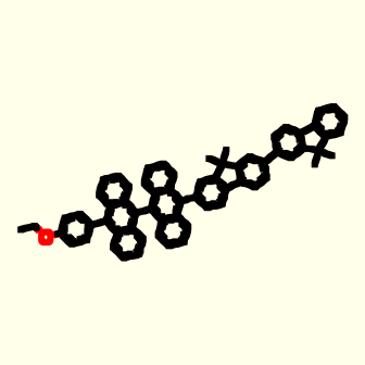 CCOc1ccc(-c2c3ccccc3c(-c3c4ccccc4c(-c4ccc5c(c4)C(C)(C)c4cc(-c6ccc7c(c6)C(C)(C)c6ccccc6-7)ccc4-5)c4ccccc34)c3ccccc23)cc1